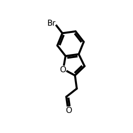 O=CCc1cc2ccc(Br)cc2o1